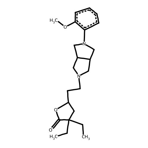 CCC1(CC)CC(CCN2CC3CN(c4ccccc4OC)CC3C2)OC1=O